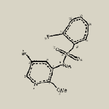 COc1ncc(Br)cc1NS(=O)(=O)c1ccccc1F